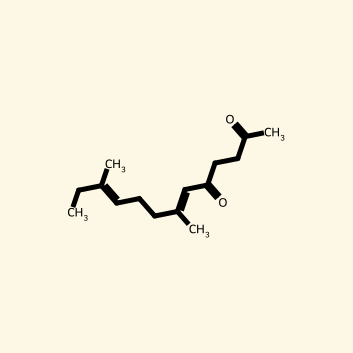 CCC(C)=CCCC(C)=CC(=O)CCC(C)=O